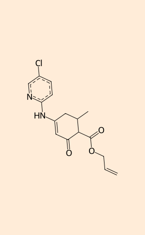 C=CCOC(=O)C1C(=O)C=C(Nc2ccc(Cl)cn2)CC1C